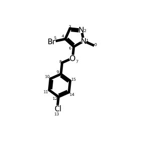 Cn1ncc(Br)c1OCc1ccc(Cl)cc1